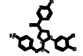 C[C@H](Oc1ccc(C(F)(F)F)cn1)[C@H]1CN(C(=O)c2ccc(Cl)nc2)C[C@@H]1c1ccc(Cl)c(Cl)c1